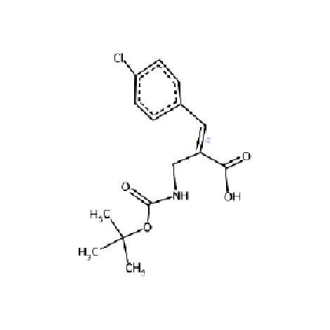 CC(C)(C)OC(=O)NC/C(=C\c1ccc(Cl)cc1)C(=O)O